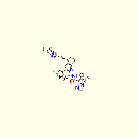 Cc1nn2cccnc2c1C(=O)N[C@@H](C)c1nc2cccc(C#Cc3cnn(C)c3)c2cc1-c1cccc(F)c1